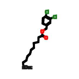 CCCCCCCCCCCCCCCCCCCC(=O)OCc1ccc(Cl)c(Cl)c1